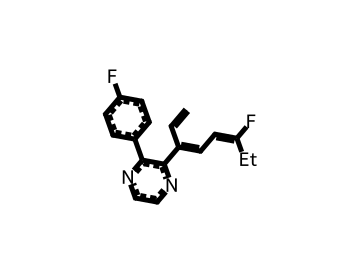 C=C/C(=C\C=C(\F)CC)c1nccnc1-c1ccc(F)cc1